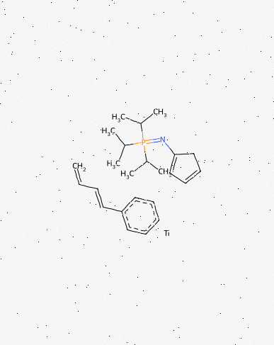 C=CC=Cc1ccccc1.CC(C)P(=NC1=CC=CC1)(C(C)C)C(C)C.[Ti]